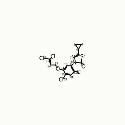 O=c1sc(C2CC2)nn1-c1cc(OCC=C(Cl)Cl)c(Cl)cc1Cl